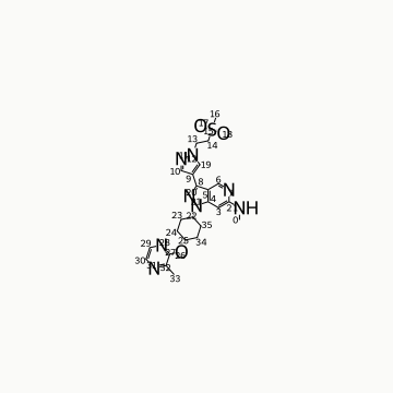 CNc1cc2c(cn1)c(-c1cnn(CCS(C)(=O)=O)c1)nn2[C@H]1CC[C@@H](Oc2nccnc2C)CC1